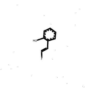 Oc1ccccc1C=CF